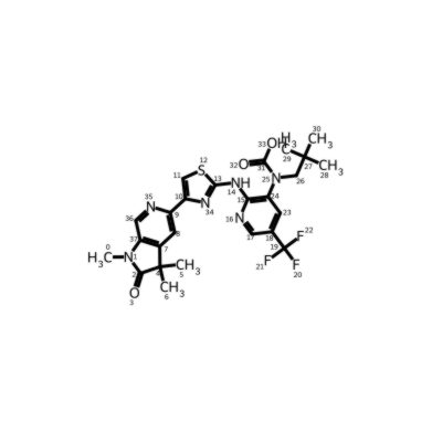 CN1C(=O)C(C)(C)c2cc(-c3csc(Nc4ncc(C(F)(F)F)cc4N(CC(C)(C)C)C(=O)O)n3)ncc21